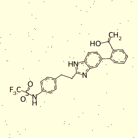 C=C(O)c1ccccc1-c1ccc2[nH]c(CCc3ccc(NS(=O)(=O)C(F)(F)F)cc3)nc2c1